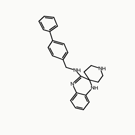 c1ccc(-c2ccc(CNC3=Nc4ccccc4NC34CCNCC4)cc2)cc1